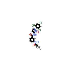 C=CC(=O)Nc1cccc(C(=O)NC2=CCN(c3c(Cl)cc(Cl)cc3Cl)[N+]2=O)c1